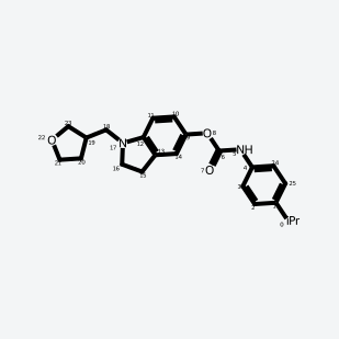 CC(C)c1ccc(NC(=O)Oc2ccc3c(c2)CCN3CC2CCOC2)cc1